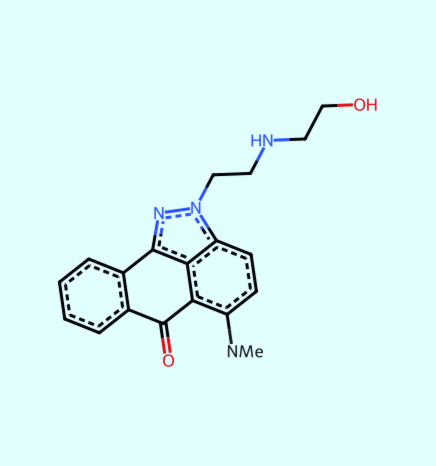 CNc1ccc2c3c(nn2CCNCCO)-c2ccccc2C(=O)c13